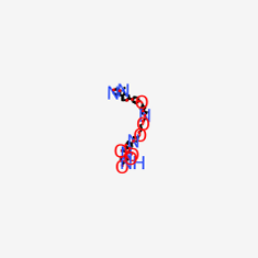 Cn1c2ccncc2c2ccc(-c3ccc(OC4CC5(C4)CN(CCOCCCOC4CN(c6ccc7c(c6)C(=O)N(C6CCC(=O)NC6=O)C7=O)C4)C5)cc3)cc21